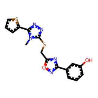 Cn1c(SCc2nc(-c3cccc(O)c3)no2)nnc1-c1cccs1